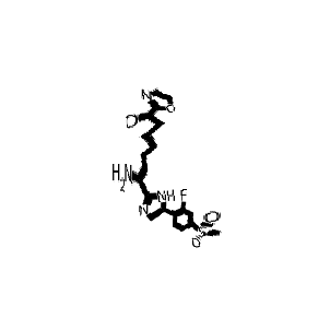 CS(=O)(=O)c1ccc(-c2cnc(C(N)CCCCCC(=O)c3ncco3)[nH]2)c(F)c1